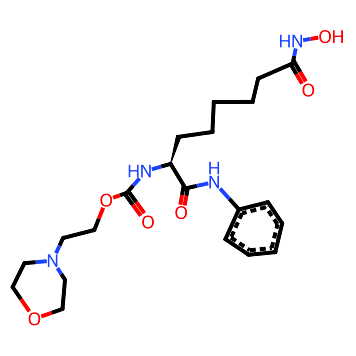 O=C(CCCCC[C@H](NC(=O)OCCN1CCOCC1)C(=O)Nc1ccccc1)NO